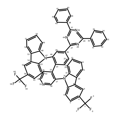 FC(F)(F)c1ccc2c(c1)c1ccccc1n2-c1cnccc1-c1ccc(-c2nc(-c3ccccc3)nc(-c3ccccc3)n2)cc1-n1c2ccccc2c2cc(C(F)(F)F)ccc21